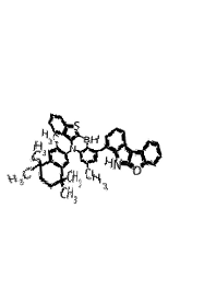 Cc1cc(-c2cccc3c2[nH]c2oc4ccccc4c23)c2c(c1)N(c1cc3c(cc1C)C(C)(C)CCC3(C)C)c1c(sc3ccccc13)B2